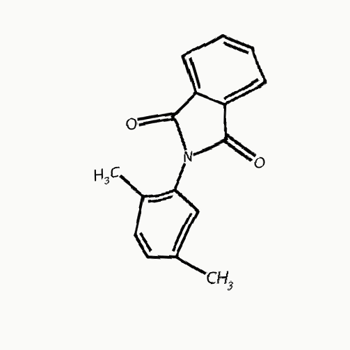 Cc1ccc(C)c(N2C(=O)c3ccccc3C2=O)c1